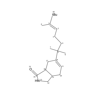 C/C(=C\CCC(C)(C)C1=CCC2CNC(=O)C2C1)C(C)(C)C